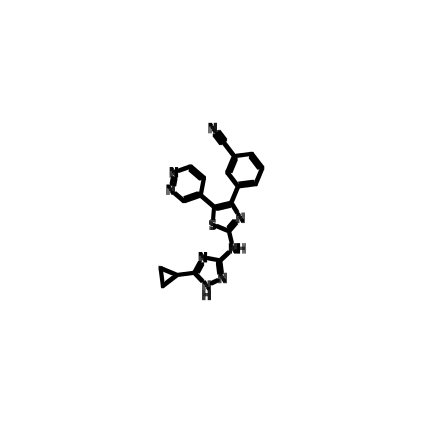 N#Cc1cccc(-c2nc(Nc3n[nH]c(C4CC4)n3)sc2-c2ccnnc2)c1